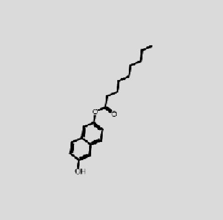 CCCCCCCCC(=O)Oc1ccc2cc(O)ccc2c1